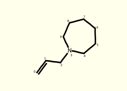 C=CCN1CC[CH]CCC1